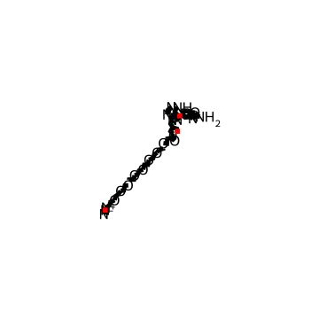 [N-]=[N+]=NCCOCCOCCOCCOCCOCCOCCOCCOCCC(=O)N1CCC(Cn2nc(-c3ccc4oc(N)nc4c3)c3c(N)ncnc32)C1